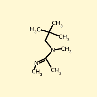 C/N=C(\C)N(C)CC(C)(C)C